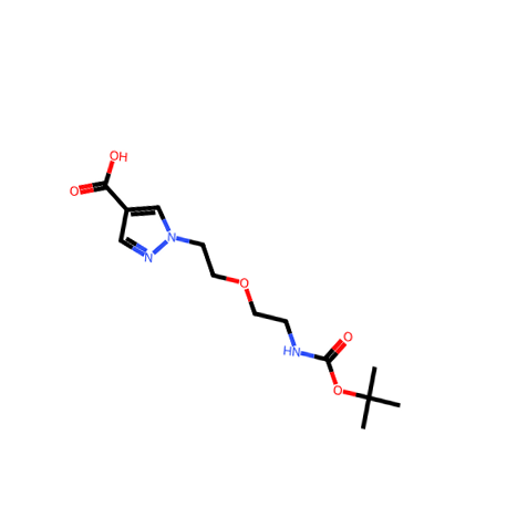 CC(C)(C)OC(=O)NCCOCCn1cc(C(=O)O)cn1